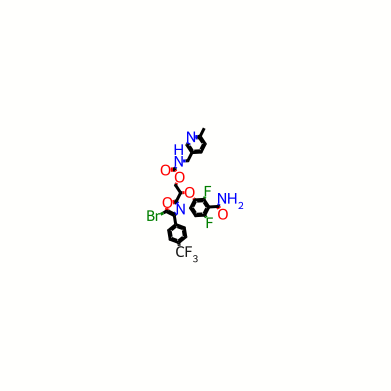 Cc1ccc(CNC(=O)OCC(Oc2ccc(F)c(C(N)=O)c2F)c2nc(-c3ccc(C(F)(F)F)cc3)c(Br)o2)cn1